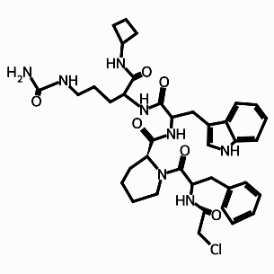 NC(=O)NCCCC(NC(=O)C(Cc1c[nH]c2ccccc12)NC(=O)[C@@H]1CCCCN1C(=O)C(Cc1ccccc1)NC(=O)CCl)C(=O)NC1CCC1